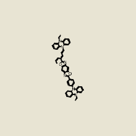 C\C=C/C(=C\C=C\N1c2ccccc2N(CC)c2ccccc21)c1nc2cc3oc(-c4ccc(N5c6ccccc6N(CC)c6ccccc65)cc4)nc3cc2o1